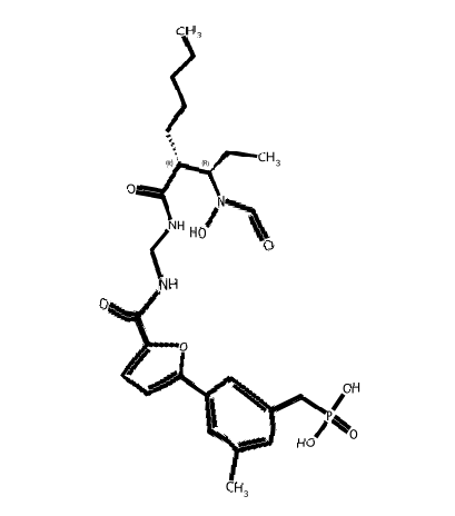 CCCCC[C@@H](C(=O)NCNC(=O)c1ccc(-c2cc(C)cc(CP(=O)(O)O)c2)o1)[C@@H](CC)N(O)C=O